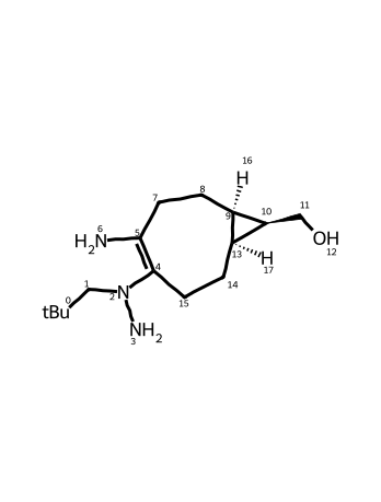 CC(C)(C)CN(N)/C1=C(\N)CC[C@H]2[C@@H](CO)[C@H]2CC1